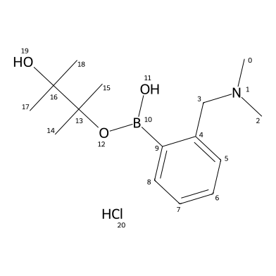 CN(C)Cc1ccccc1B(O)OC(C)(C)C(C)(C)O.Cl